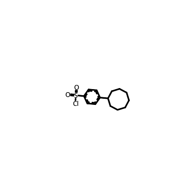 O=S(=O)(Cl)c1ccc(C2CCCCCCC2)cc1